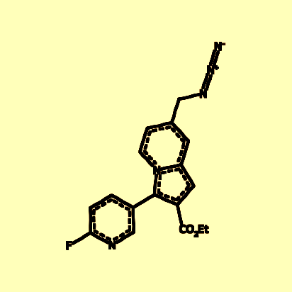 CCOC(=O)c1cc2cc(CN=[N+]=[N-])ccn2c1-c1ccc(F)nc1